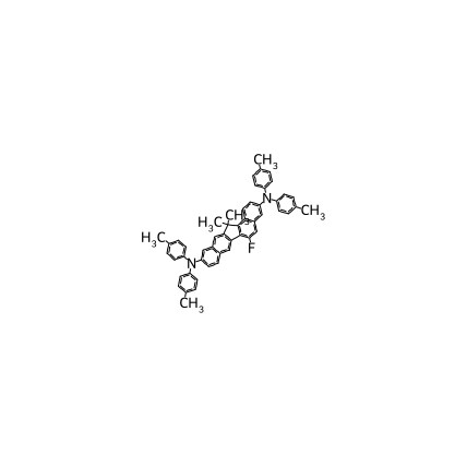 Cc1ccc(N(c2ccc(C)cc2)c2ccc3cc4c(cc3c2)C(C)(C)c2c-4c(F)cc3cc(N(c4ccc(C)cc4)c4ccc(C)cc4)ccc23)cc1